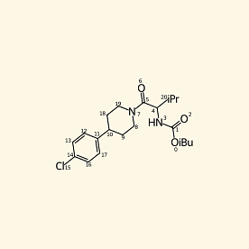 CC(C)COC(=O)NC(C(=O)N1CCC(c2ccc(Cl)cc2)CC1)C(C)C